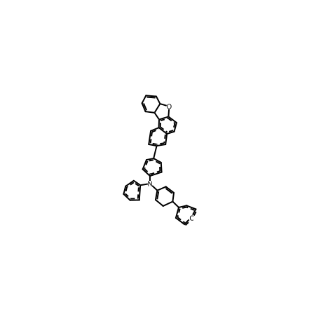 C1=CC2Oc3ccc4cc(-c5ccc(N(C6=CCC(c7ccccc7)C=C6)c6ccccc6)cc5)ccc4c3C2C=C1